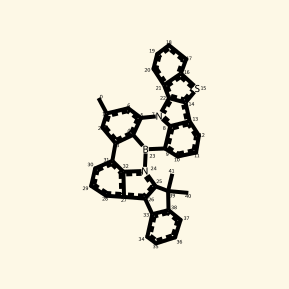 Cc1cc2c3c(c1)-n1c4c(cccc4c4sc5ccccc5c41)B3n1c3c(c4cccc-2c41)-c1ccccc1C3(C)C